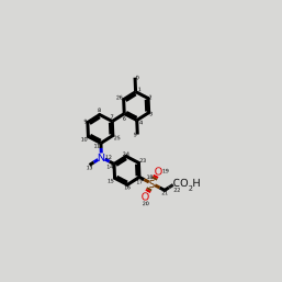 Cc1ccc(C)c(-c2cccc(N(C)c3ccc(S(=O)(=O)CC(=O)O)cc3)c2)c1